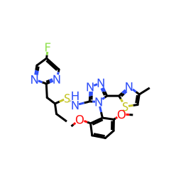 CCC(Cc1ncc(F)cn1)SNc1nnc(-c2nc(C)cs2)n1-c1c(OC)cccc1OC